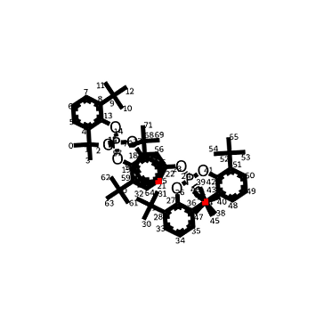 CC(C)(C)c1cccc(C(C)(C)C)c1OP(=O)(Oc1cccc(OP(=O)(Oc2c(C(C)(C)C)cccc2C(C)(C)C)Oc2c(C(C)(C)C)cccc2C(C)(C)C)c1)Oc1c(C(C)(C)C)cccc1C(C)(C)C